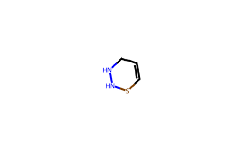 [CH]1C=CSNN1